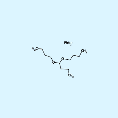 CCCCOC(CCC)OCCCC.[PbH2]